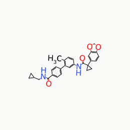 Cc1ccc(NC(=O)C2(c3ccc4c(c3)OCO4)CC2)cc1-c1ccc(C(=O)NCC2CC2)cc1